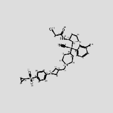 N#C[C@@](c1cccc(F)c1)(C1CCN(CC2CN(c3ccc(S(=O)(=O)C4CC4)cc3)C2)CC1)[C@H]1CCC[C@@H]1NC(=O)CCl